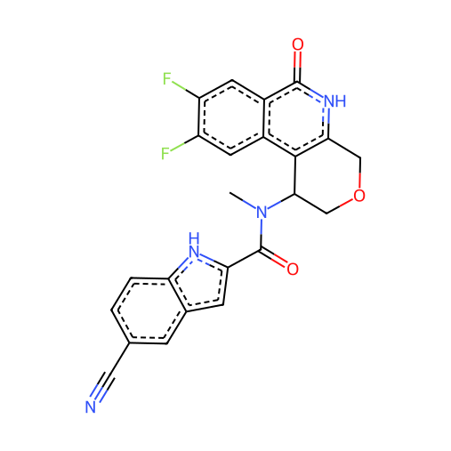 CN(C(=O)c1cc2cc(C#N)ccc2[nH]1)C1COCc2[nH]c(=O)c3cc(F)c(F)cc3c21